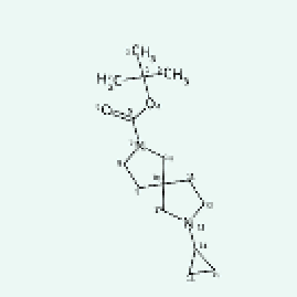 CC(C)(C)OC(=O)N1CCC2(CCN(C3CC3)C2)C1